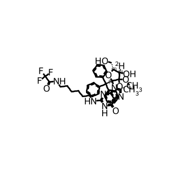 [2H][C@@]1(O)[C@@H](CO)O[C@](n2cnc3c(=O)[nH]c(NCCCCCCNC(=O)C(F)(F)F)nc32)(C(c2ccccc2)(c2ccccc2)c2ccccc2)C1(OC)OC